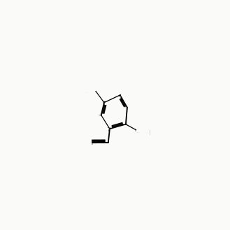 Bc1ccc(O)c(C=C)c1